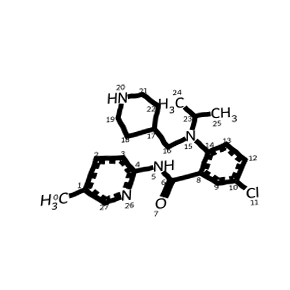 Cc1ccc(NC(=O)c2cc(Cl)ccc2N(CC2CCNCC2)C(C)C)nc1